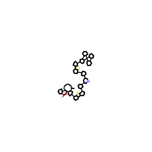 C=C1/C=C\C=C/CC2(c3ccc(-c4cccc5c4sc4c(-c6cccc(-c7cncc(-c8cccc(-c9cccc%10c9sc9c(-c%11ccc%12c(c%11)-c%11ccccc%11C%12%11c%12ccccc%12-c%12ccccc%12%11)cccc9%10)c8)c7)c6)cccc45)cc31)c1ccccc1-c1ccccc12